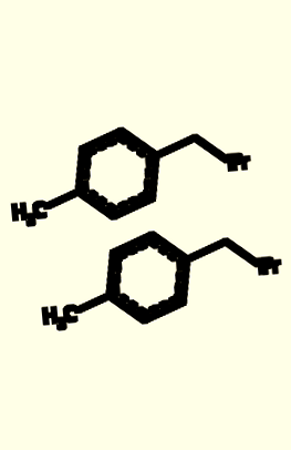 Cc1ccc(CC(C)C)cc1.Cc1ccc(CC(C)C)cc1